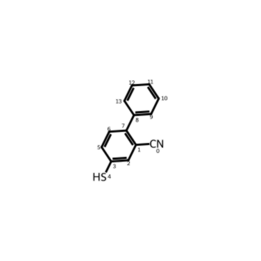 N#Cc1cc(S)ccc1-c1ccccc1